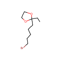 CCC1(CCCCCBr)OCCO1